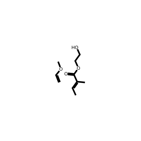 C/C=C(\C)C(=O)OCCO.C=COC